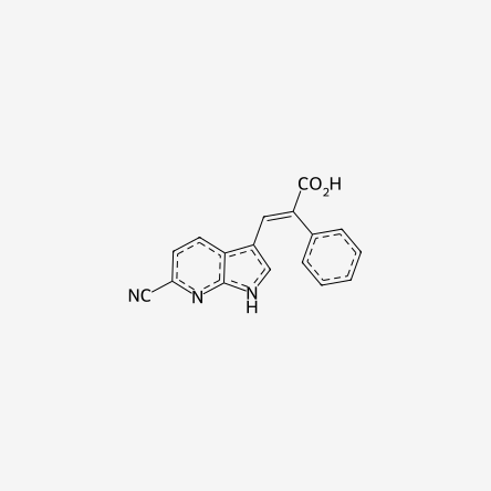 N#Cc1ccc2c(/C=C(/C(=O)O)c3ccccc3)c[nH]c2n1